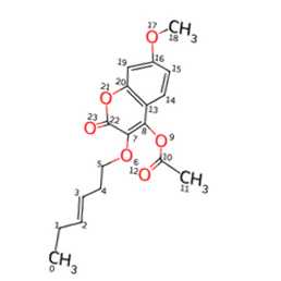 CC/C=C/CCOc1c(OC(C)=O)c2ccc(OC)cc2oc1=O